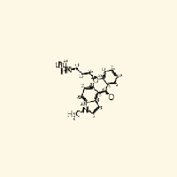 Cn1ccc2c(C(=O)c3ccccc3OCCCNC(C)(C)C)cccc21